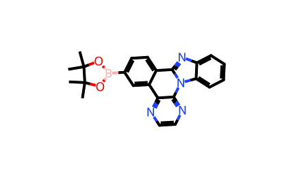 CC1(C)OB(c2ccc3c(c2)c2nccnc2n2c4ccccc4nc32)OC1(C)C